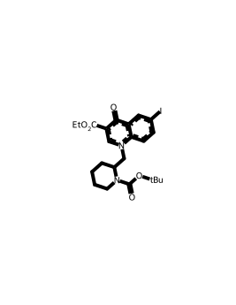 CCOC(=O)c1cn(CC2CCCCN2C(=O)OC(C)(C)C)c2ccc(I)cc2c1=O